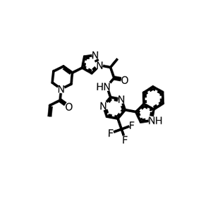 C=CC(=O)N1CCC=C(c2cnn(C(C)C(=O)Nc3ncc(C(F)(F)F)c(-c4c[nH]c5ccccc45)n3)c2)C1